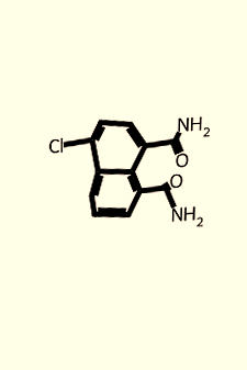 NC(=O)c1cccc2c(Cl)ccc(C(N)=O)c12